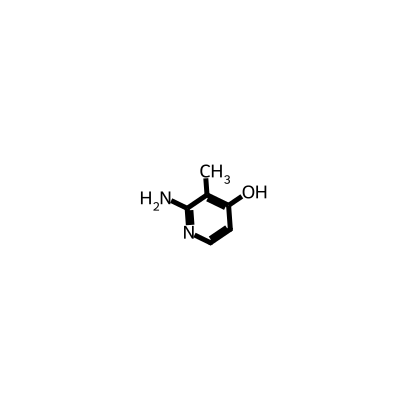 Cc1c(O)ccnc1N